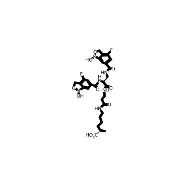 C[C@@H](CCCCNC(=O)CCNC(=O)[C@H](CNC(=O)c1cc(F)c2c(c1)B(O)OC2)NC(=O)c1cc(F)c2c(c1)B(O)OC2)C(=O)O